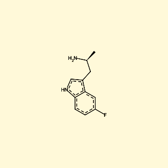 C[C@H](N)Cc1c[nH]c2ccc(F)cc12